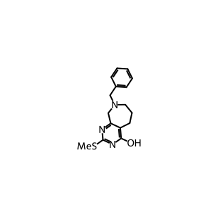 CSc1nc(O)c2c(n1)CN(Cc1ccccc1)CCC2